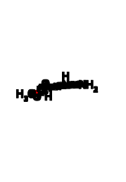 CCC(=O)C1CCC(C(=O)NCCCCCCNCCCCCCN)CC1